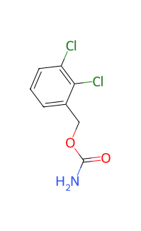 NC(=O)OCc1cccc(Cl)c1Cl